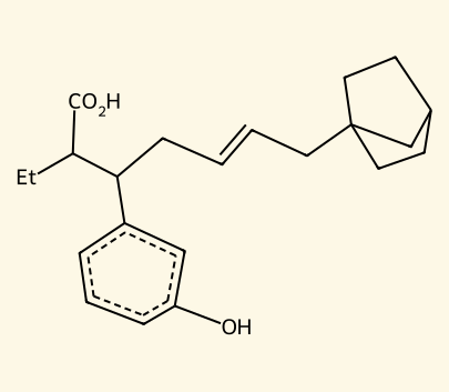 CCC(C(=O)O)C(CC=CCC12CCC(CC1)C2)c1cccc(O)c1